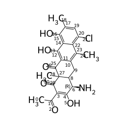 CC(=O)C1=C(O)[C@H](N)C2Cc3c(c(O)c4c(O)c(C)cc(Cl)c4c3C)C(=O)C2(C)C1=O